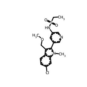 CCS(=O)(=O)Nc1cncc(-c2c(COC)c3ccc(Cl)cc3n2C)c1